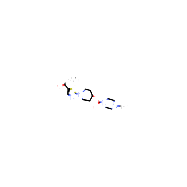 COC(=O)c1cnc(N2CCC(OC(=O)N3CCN(C(C)C)CC3)CC2)s1